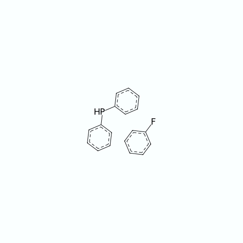 Fc1ccccc1.c1ccc(Pc2ccccc2)cc1